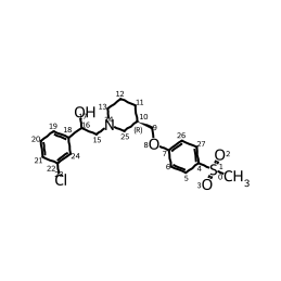 CS(=O)(=O)c1ccc(OC[C@@H]2CCCN(CC(O)c3cccc(Cl)c3)C2)cc1